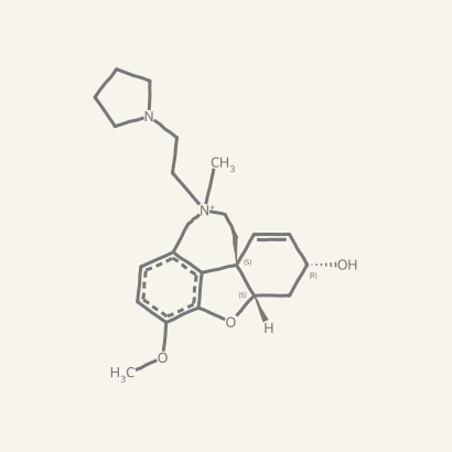 COc1ccc2c3c1O[C@H]1C[C@@H](O)C=C[C@@]31CC[N+](C)(CCN1CCCC1)C2